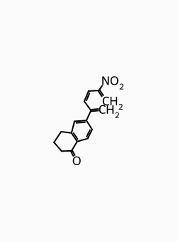 C=C(/C=C\C(=C)[N+](=O)[O-])c1ccc2c(c1)CCCC2=O